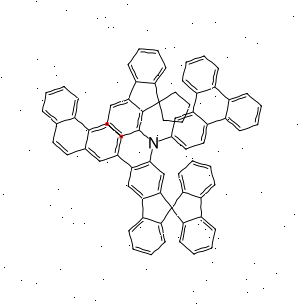 c1ccc2c(c1)-c1cccc(N(c3ccc4c5ccccc5c5ccccc5c4c3)c3cc4c(cc3-c3ccc5c(ccc6ccccc65)c3)-c3ccccc3C43c4ccccc4-c4ccccc43)c1C21CCCC1